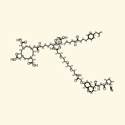 CC(C)Cc1ccc(CCCC(=O)NCCCC[C@H](NC(=O)C(CCCCNC(=O)CN2CCN(CC(=O)O)CCN(CC(=O)O)CCN(CC(=O)O)CC2)NC(=O)CCOCCOCCOCCNC(=O)COc2ccc3c(C(=O)NCC(=O)N4CCC[C@H]4C#N)ccnc3c2)C(=O)O)cc1